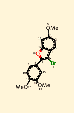 COc1ccc2c(Br)c(-c3ccc(OC)c(OC)c3)oc2c1